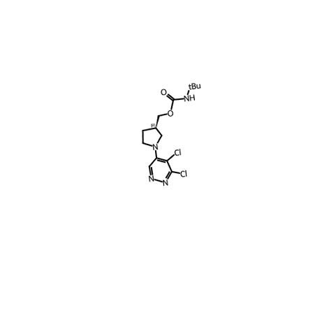 CC(C)(C)NC(=O)OC[C@@H]1CCN(c2cnnc(Cl)c2Cl)C1